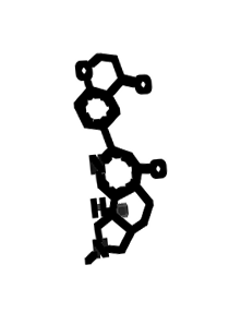 CN1CC2CCc3c(cnc(-c4ccc5c(c4)C(=O)CCO5)cc3=O)[C@H]2C1